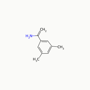 C=C(N)c1cc(C)cc(C)c1